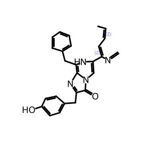 C=N/C(=C\C=C/C)c1cn2c(=O)c(Cc3ccc(O)cc3)nc-2c(Cc2ccccc2)[nH]1